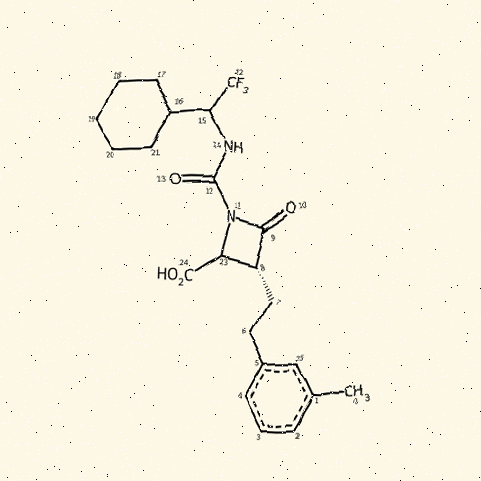 Cc1cccc(CC[C@H]2C(=O)N(C(=O)NC(C3CCCCC3)C(F)(F)F)C2C(=O)O)c1